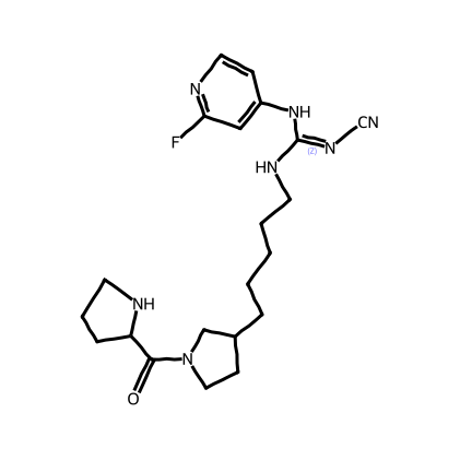 N#C/N=C(/NCCCCCC1CCN(C(=O)C2CCCN2)C1)Nc1ccnc(F)c1